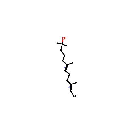 CC/C=C(\C)CC/C=C(\C)CCCC(C)(C)O